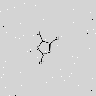 [O-][S+]1C=C(Cl)C(Cl)S1